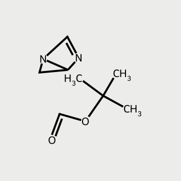 C1=NC2CN12.CC(C)(C)OC=O